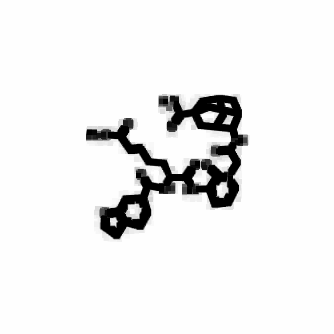 COC(=O)/C=C/CC[C@H](NC(=O)c1ccc2ccoc2c1)C(=O)Nc1cccn(CC(=O)NC2C3CC4CC2CC(C(N)=O)(C4)C3)c1=O